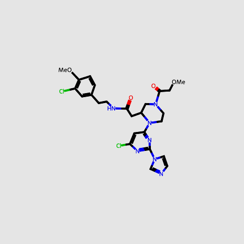 COCC(=O)N1CCN(c2cc(Cl)nc(-n3ccnc3)n2)C(CC(=O)NCCc2ccc(OC)c(Cl)c2)C1